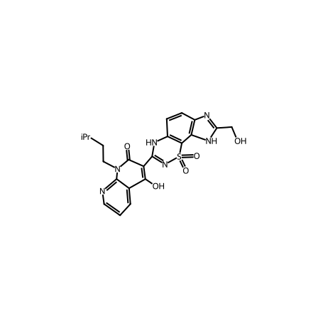 CC(C)CCn1c(=O)c(C2=NS(=O)(=O)c3c(ccc4nc(CO)[nH]c34)N2)c(O)c2cccnc21